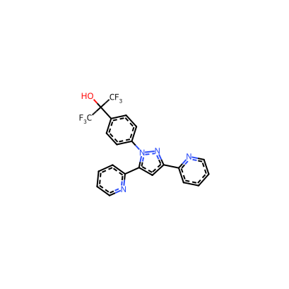 OC(c1ccc(-n2nc(-c3ccccn3)cc2-c2ccccn2)cc1)(C(F)(F)F)C(F)(F)F